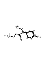 CCOC(=O)CCC(=O)N(CC#N)c1ccc(F)cc1